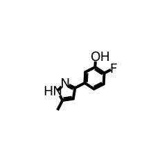 Cc1cc(-c2ccc(F)c(O)c2)n[nH]1